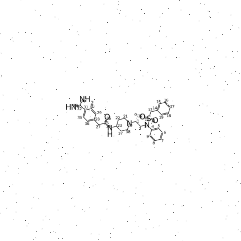 C[C@H](CN(c1ccccc1)S(=O)(=O)Cc1ccccc1)N1CCC(NC(=O)Cc2ccc(C(=N)N)cc2)CC1